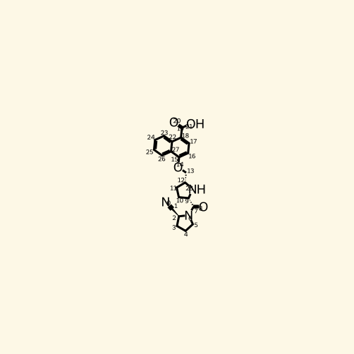 N#C[C@@H]1CCCN1C(=O)[C@@H]1CC[C@H](COc2ccc(C(=O)O)c3ccccc23)N1